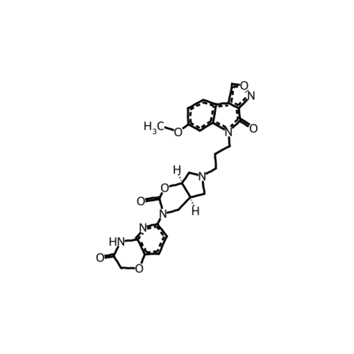 COc1ccc2c3conc3c(=O)n(CCCN3C[C@H]4CN(c5ccc6c(n5)NC(=O)CO6)C(=O)O[C@H]4C3)c2c1